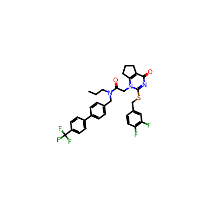 CCCN(Cc1ccc(-c2ccc(C(F)(F)F)cc2)cc1)C(=O)Cn1c(SCc2ccc(F)c(F)c2)nc(=O)c2c1CCC2